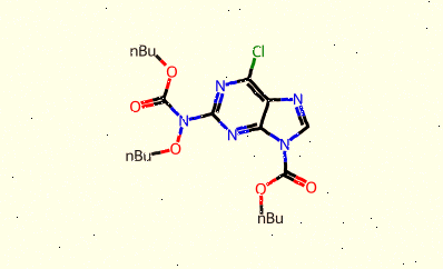 CCCCOC(=O)N(OCCCC)c1nc(Cl)c2ncn(C(=O)OCCCC)c2n1